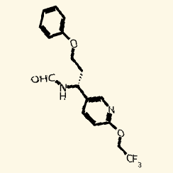 O=CN[C@H](CCOc1ccccc1)c1ccc(OCC(F)(F)F)nc1